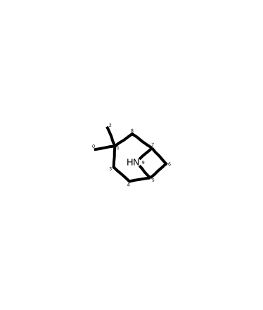 CC1(C)CCC2CC(C1)N2